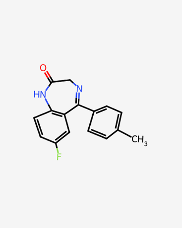 Cc1ccc(C2=NCC(=O)Nc3ccc(F)cc32)cc1